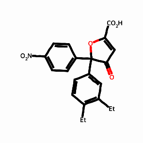 CCc1ccc(C2(c3ccc([N+](=O)[O-])cc3)OC(C(=O)O)=CC2=O)cc1CC